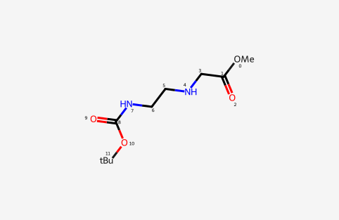 COC(=O)CNCCNC(=O)OC(C)(C)C